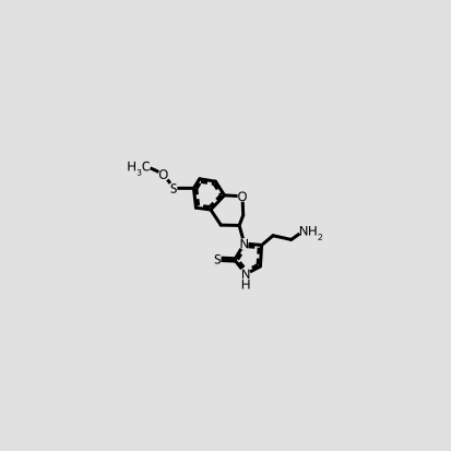 COSc1ccc2c(c1)CC(n1c(CCN)c[nH]c1=S)CO2